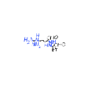 CC(C)[C@@H](C=O)NN[C@H](C=O)CCCNC(N)N